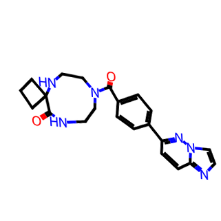 O=C(c1ccc(-c2ccc3nccn3n2)cc1)N1CCNC(=O)C2(CCC2)NCC1